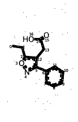 CCc1onc(-c2ccccc2)c1CC(=O)O